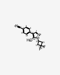 N#Cc1ccc(-c2cnn([C]3CC(F)(F)C3)c2O)cc1